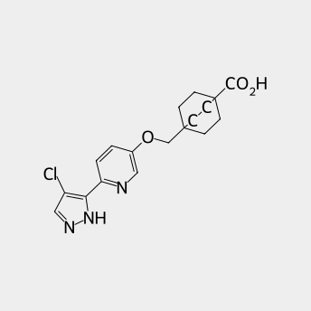 O=C(O)C12CCC(COc3ccc(-c4[nH]ncc4Cl)nc3)(CC1)CC2